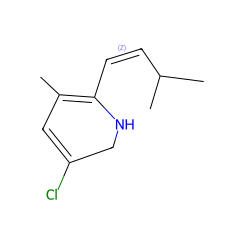 CC1=C(/C=C\C(C)C)NCC(Cl)=C1